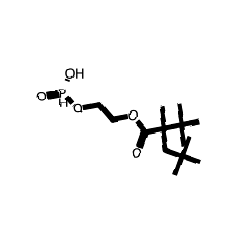 CC(C)(C)CC(C)(C(=O)OCCO[PH](=O)O)C(C)(C)C